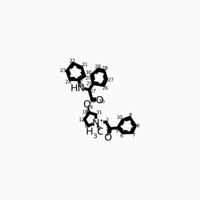 C[N+]1(CC(=O)c2ccccc2)CC[C@@H](OC(=O)C(Nc2ccccc2)c2ccccc2)C1